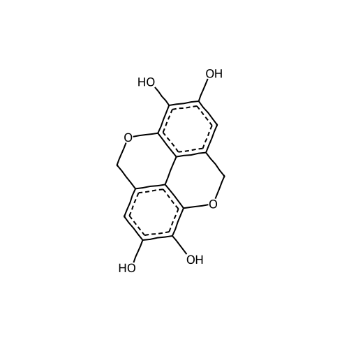 Oc1cc2c3c(c1O)OCc1cc(O)c(O)c(c1-3)OC2